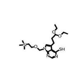 CCOC(CCc1cn(COCC[Si](C)(C)C)c2ncnc(S)c12)OCC